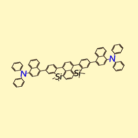 C[Si]1(C)c2cc(-c3ccc(N(c4ccccc4)c4ccccc4)c4ccccc34)ccc2-c2ccc3c4c(ccc1c24)[Si](C)(C)c1cc(-c2ccc(N(c4ccccc4)c4ccccc4)c4ccccc24)ccc1-3